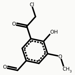 COc1cc(C=O)cc(C(=O)CCl)c1O